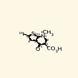 Cn1cc(C(=O)O)c(=O)c2cc(I)sc21